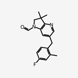 Cc1cc(F)ccc1Cc1cnc2c(c1)N(C=O)CC2(C)C